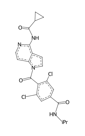 CC(C)NC(=O)c1cc(Cl)c(C(=O)n2ccc3c(NC(=O)C4CC4)nccc32)c(Cl)c1